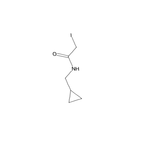 O=C(CI)NCC1CC1